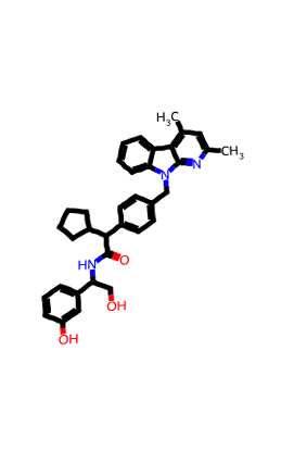 Cc1cc(C)c2c3ccccc3n(Cc3ccc(C(C(=O)NC(CO)c4cccc(O)c4)C4CCCC4)cc3)c2n1